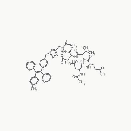 CC(=O)N[C@@H](CC(=O)O)C(=O)N[C@@H](CCC(=O)O)C(=O)N[C@H](C(=O)N[C@@H](CC(=O)O)C(=O)N[C@@H](Cc1cn(Cc2ccc(/C(=C(\c3ccccc3)c3ccc(C)cc3)c3ccccc3)cc2)nn1)C(N)=O)C(C)C